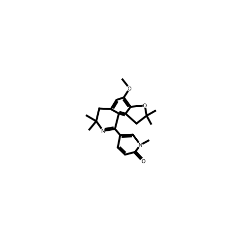 COc1cc2c(c3c1OC(C)(C)C3)C(c1ccc(=O)n(C)c1)=NC(C)(C)C2